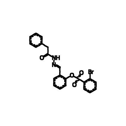 O=C(Cc1ccccc1)N/N=C/c1ccccc1OS(=O)(=O)c1ccccc1Br